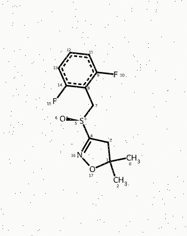 CC1(C)CC([S@@+]([O-])Cc2c(F)cccc2F)=NO1